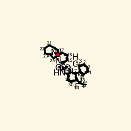 Cc1ccccc1-c1nc(NS(=O)(=O)c2cccc(N3C4CCCC3CCC4)n2)ccc1C(F)(F)F